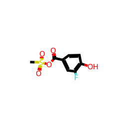 CS(=O)(=O)OC(=O)c1ccc(O)c(F)c1